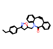 CCc1ccc(C2=NOC(CN3C(=O)c4ccccc4C#Cc4ccccc43)C2)cc1